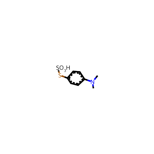 CN(C)c1ccc(SS(=O)(=O)O)cc1